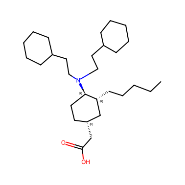 CCCCC[C@@H]1C[C@H](CC(=O)O)CC[C@H]1N(CCC1CCCCC1)CCC1CCCCC1